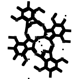 COc1c(C)c(C)c(OC)c2c1C1=NC/2=N\c2c3c(OC)c(C)c(C)c(OC)c3c3n2Nn2/c(c4c(OC)c(C)c(C)c(OC)c4/c2=N/C2=NC(=N\3)/c3c(OC)c(C)c(C)c(OC)c32)=N\1